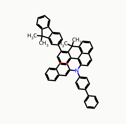 CC1(C)c2ccccc2-c2ccc(-c3cccc4c3C(C)(C)c3cccc5ccc(N(c6ccc(-c7ccccc7)cc6)c6ccc7ccccc7c6)c-4c35)cc21